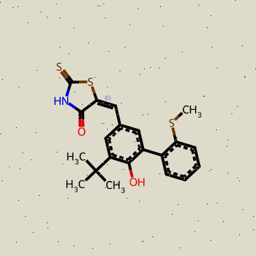 CSc1ccccc1-c1cc(/C=C2/SC(=S)NC2=O)cc(C(C)(C)C)c1O